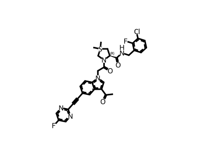 CC(=O)c1cn(CC(=O)N2CS(C)(C)C[C@H]2C(=O)NCc2cccc(Cl)c2F)c2ccc(C#Cc3ncc(F)cn3)cc12